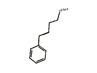 CCCCCCCCCCc1c[c][c]cc1